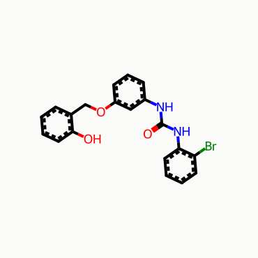 O=C(Nc1cccc(OCc2ccccc2O)c1)Nc1ccccc1Br